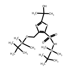 CC(C)(O)c1nc(CO[Si](C)(C)C(C)(C)C)c(S(=O)(=O)N[Si](C)(C)C(C)(C)C)s1